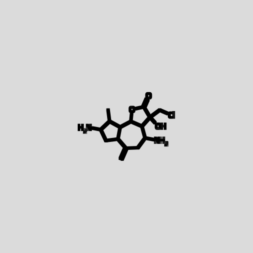 C=C1CC(N)C2C(OC(=O)C2(O)CCl)C2C1CC(N)C2C